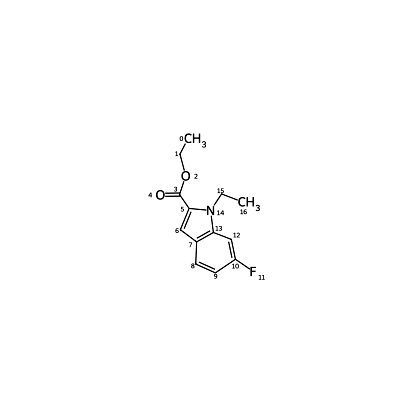 CCOC(=O)c1cc2ccc(F)cc2n1CC